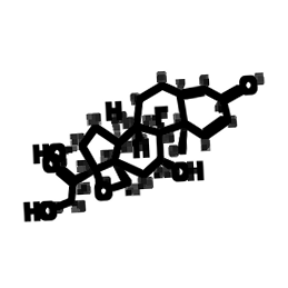 C[C@]12C=CC(=O)C=C1CC[C@H]1[C@@H]3C[C@@H](O)[C@@]4(C(=O)CO)OC[C@]34C[C@H](O)[C@@]12F